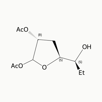 CC[C@H](O)[C@@H]1C[C@@H](OC(C)=O)C(OC(C)=O)O1